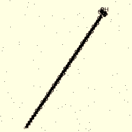 CCCCCCCCCCCCOCCOCCOCCOCCOCCOCCOCCOCCOCCOCCOCCOCCOCCOCCOCCOCCOCCOCCOCCOCCOCCOCCOCCN1CCCC1C(=O)O